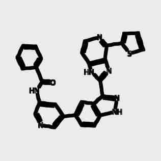 O=C(Nc1cncc(-c2ccc3[nH]nc(-c4nc5c(-c6cccs6)nccc5[nH]4)c3c2)c1)c1ccccc1